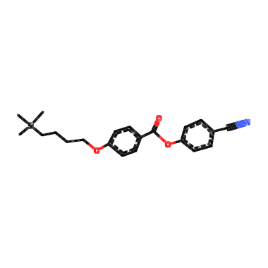 C[Si](C)(C)CCCCOc1ccc(C(=O)Oc2ccc(C#N)cc2)cc1